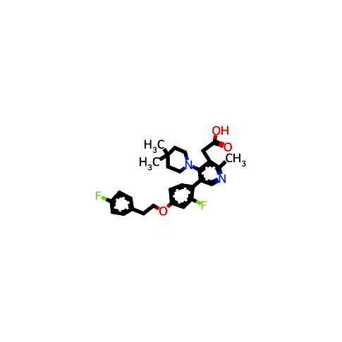 Cc1ncc(-c2ccc(OCCc3ccc(F)cc3)cc2F)c(N2CCC(C)(C)CC2)c1CC(=O)O